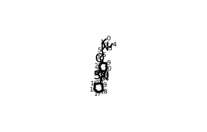 CCN(CC)CCOc1ccc2nc(-c3ccccc3)sc2c1